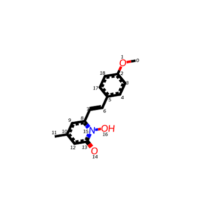 COc1ccc(C=Cc2cc(C)cc(=O)n2O)cc1